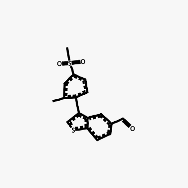 Cc1cc(S(C)(=O)=O)ccc1-c1csc2ccc(C=O)cc12